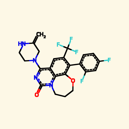 C=C1CN(c2nc(=O)n3c4c(c(-c5ccc(F)cc5F)c(C(F)(F)F)cc24)OCCC3)CCN1